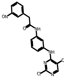 O=Nc1cccc(CC(=O)Nc2cccc(Nc3nc(Cl)ncc3Cl)c2)c1